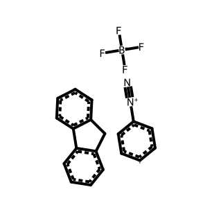 F[B-](F)(F)F.N#[N+]c1cc[c]cc1.c1ccc2c(c1)Cc1ccccc1-2